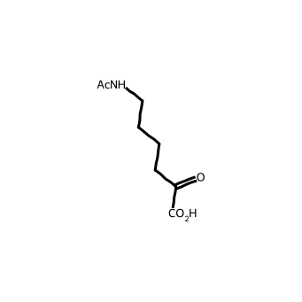 CC(=O)NCCCCC(=O)C(=O)O